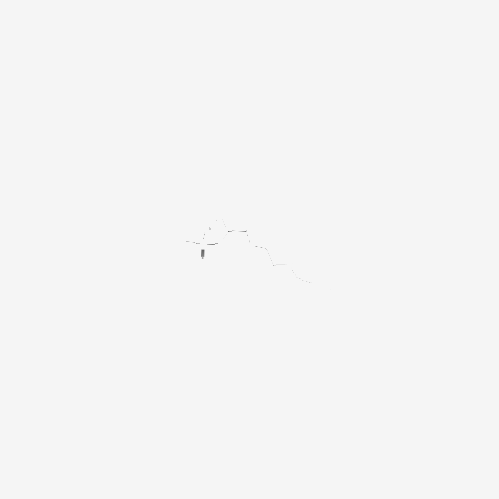 CCOCCOCC(C)OP(=O)(O)O